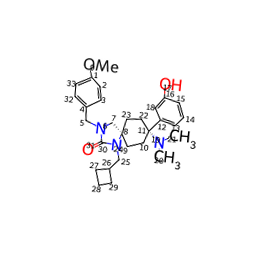 COc1ccc(CN2C[C@]3(CC[C@@](c4cccc(O)c4)(N(C)C)CC3)N(CC3CCC3)C2=O)cc1